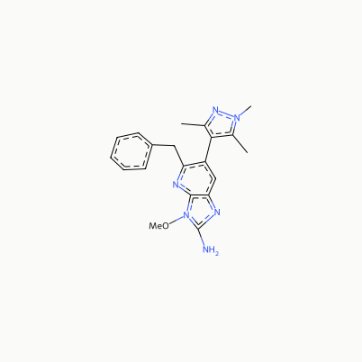 COn1c(N)nc2cc(-c3c(C)nn(C)c3C)c(Cc3ccccc3)nc21